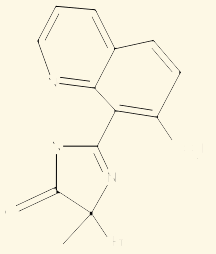 CC(C)C1(C)N=C(c2c(C(=O)O)ccc3cccnc23)NC1=O